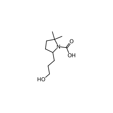 CC1(C)CCC(CCCO)N1C(=O)O